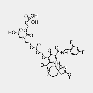 COC1=NO[C@@]2(CC[C@H](C)N3C[C@H]2n2cc(C(=O)NCc4ccc(F)cc4F)c(=O)c(OCOC(=O)OCCN(CC(=O)O)C(=O)OCOP(=O)(O)O)c2C3=O)C1